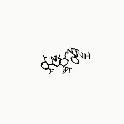 CC(C)C1CCC(CN2CCNC2=O)c2nnc(-c3c(F)cccc3F)cc21